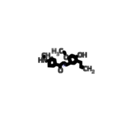 C=CCc1cc(/C=C/C(=O)c2ccc(NC)cc2)c(OCC)cc1O